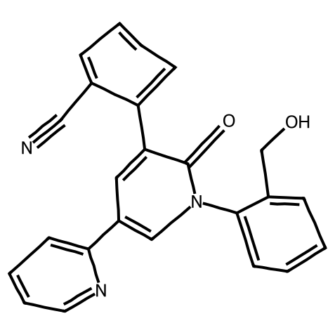 N#Cc1ccccc1-c1cc(-c2ccccn2)cn(-c2ccccc2CO)c1=O